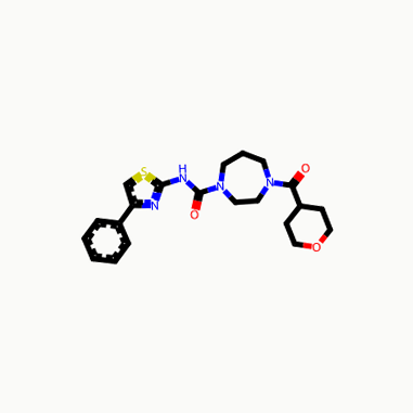 O=C(Nc1nc(-c2ccccc2)cs1)N1CCCN(C(=O)C2CCOCC2)CC1